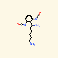 NCCCCCC(N)c1c(N=C=O)cccc1N=C=O